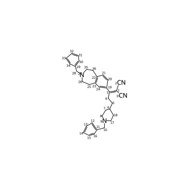 N#CC(C#N)=C(CCC1CCN(Cc2ccccc2)CC1)c1ccc2c(c1)CCN(Cc1ccccc1)CC2